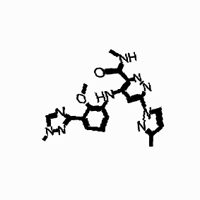 CNC(=O)c1nnc(-n2ccc(C)n2)cc1Nc1cccc(-c2ncn(C)n2)c1OC